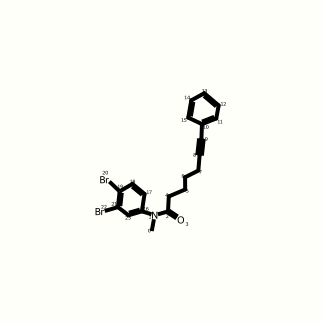 CN(C(=O)CCCCC#Cc1ccccc1)c1ccc(Br)c(Br)c1